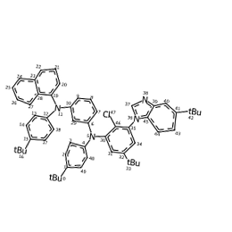 CC(C)(C)c1ccc(N(c2cccc(N(c3ccc(C(C)(C)C)cc3)c3cccc4ccccc34)c2)c2cc(C(C)(C)C)cc(-n3cnc4cc(C(C)(C)C)ccc43)c2Cl)cc1